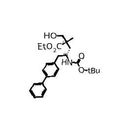 CCOC(=O)[C@](C)(CO)C[C@@H](Cc1ccc(-c2ccccc2)cc1)NC(=O)OC(C)(C)C